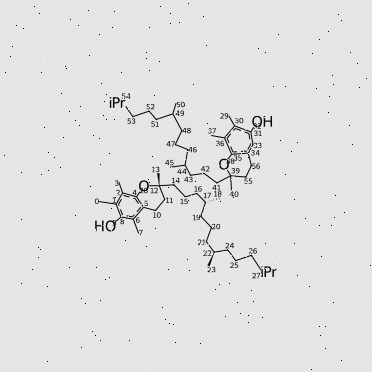 Cc1c(C)c2c(c(C)c1O)CC[C@@](C)(CCC[C@H](C)CCC[C@H](C)CCCC(C)C)O2.Cc1c(O)cc2c(c1C)OC(C)(CCCC(C)CCCC(C)CCCC(C)C)CC2